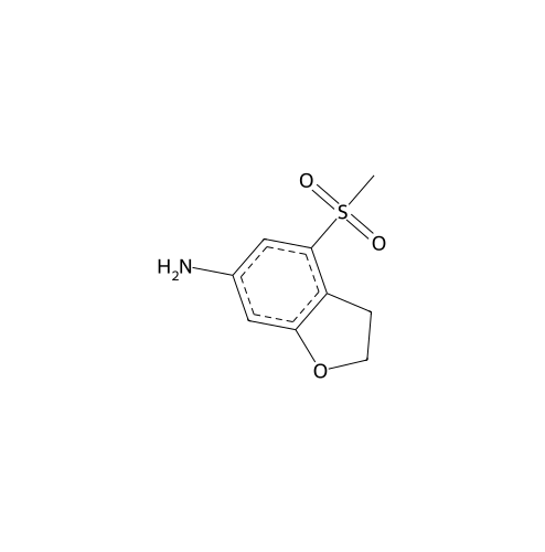 CS(=O)(=O)c1cc(N)cc2c1CCO2